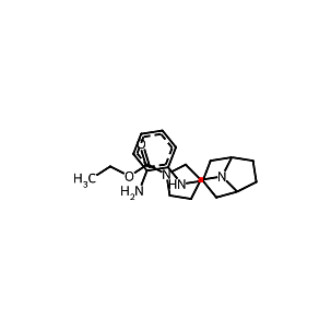 CCOC(=O)N1CCC(N2C3CCC2CC(Nc2ccccc2N)C3)C1